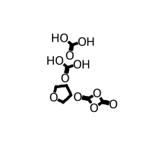 C1CCOC1.O=C(O)O.O=C(O)O.O=C1OC(=O)O1